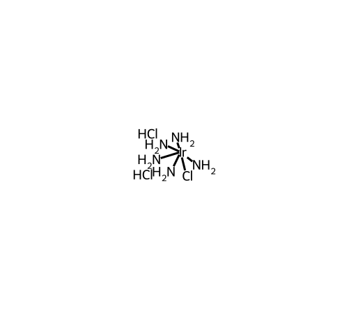 Cl.Cl.[NH2][Ir]([NH2])([NH2])([NH2])([NH2])[Cl]